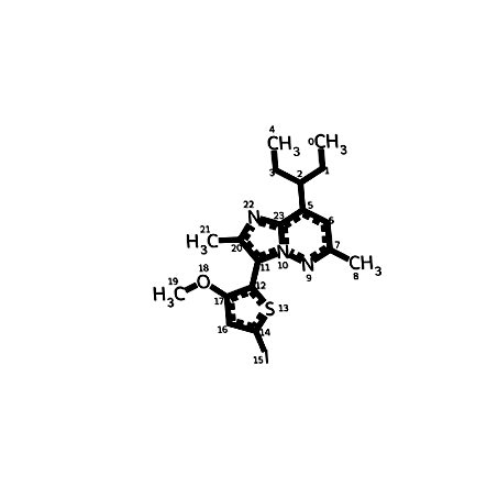 CCC(CC)c1cc(C)nn2c(-c3sc(I)cc3OC)c(C)nc12